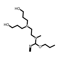 C=NC(OCCC)N(C)CCN(CCCO)CCCO